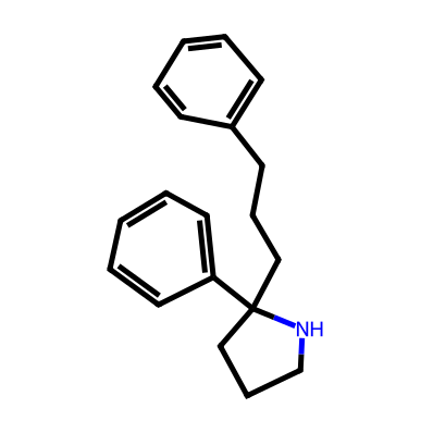 c1ccc(CCCC2(c3ccccc3)CCCN2)cc1